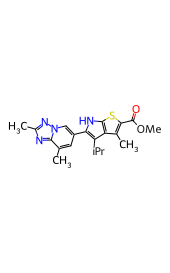 COC(=O)c1sc2[nH]c(-c3cc(C)c4nc(C)nn4c3)c(C(C)C)c2c1C